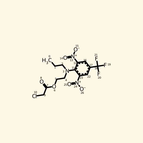 CCCN(CCOC(=O)CCl)c1c([N+](=O)[O-])cc(C(F)(F)F)cc1[N+](=O)[O-]